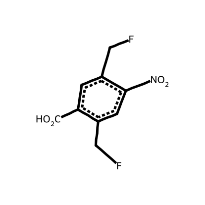 O=C(O)c1cc(CF)c([N+](=O)[O-])cc1CF